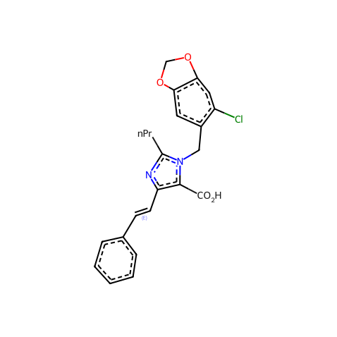 CCCc1nc(/C=C/c2ccccc2)c(C(=O)O)n1Cc1cc2c(cc1Cl)OCO2